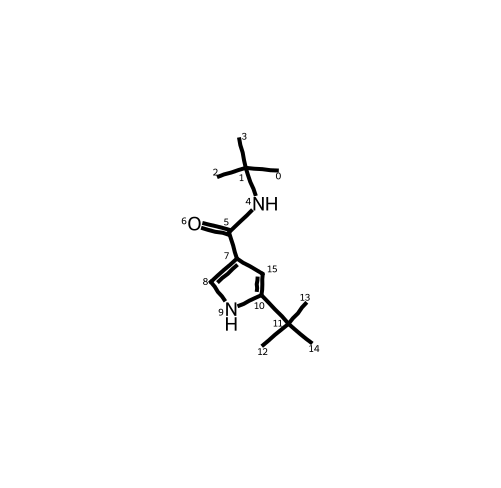 CC(C)(C)NC(=O)c1c[nH]c(C(C)(C)C)c1